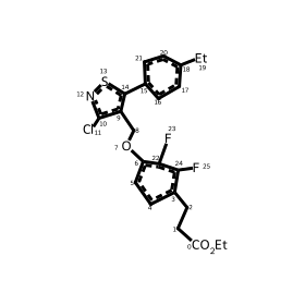 CCOC(=O)CCc1ccc(OCc2c(Cl)nsc2-c2ccc(CC)cc2)c(F)c1F